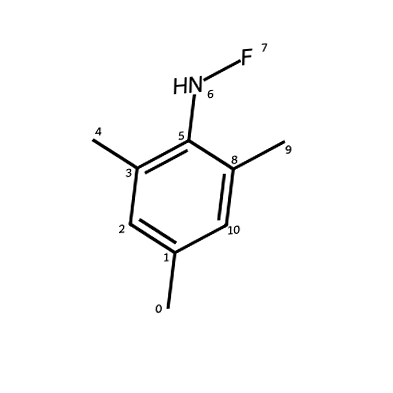 Cc1cc(C)c(NF)c(C)c1